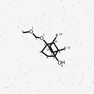 COCOC12CCC(O)(CC1)C(F)=C2F